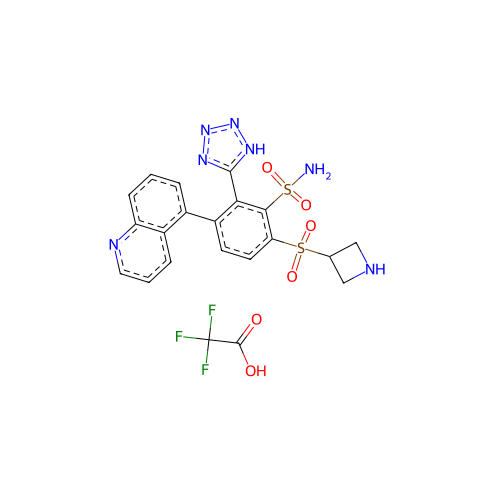 NS(=O)(=O)c1c(S(=O)(=O)C2CNC2)ccc(-c2cccc3ncccc23)c1-c1nnn[nH]1.O=C(O)C(F)(F)F